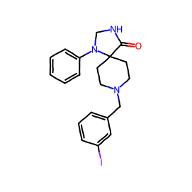 O=C1NCN(c2ccccc2)C12CCN(Cc1cccc(I)c1)CC2